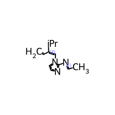 C=C/C(=C\n1ccnc1/N=C/C)C(C)C